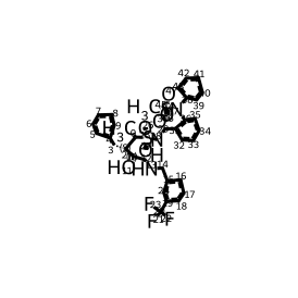 CC([C@@H](Cc1ccccc1)[C@@H](O)CNCc1cccc(C(F)(F)F)c1)S(=O)(=O)NC(=O)c1ccccc1N(c1ccccc1)S(C)(=O)=O